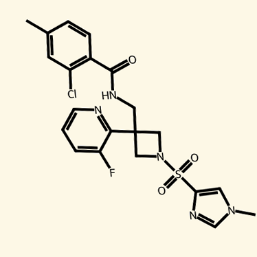 Cc1ccc(C(=O)NCC2(c3ncccc3F)CN(S(=O)(=O)c3cn(C)cn3)C2)c(Cl)c1